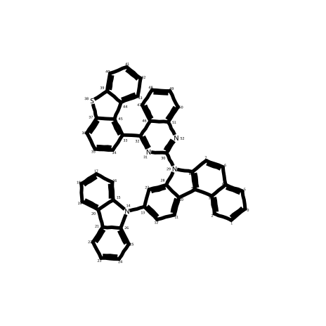 c1ccc2c(c1)ccc1c2c2ccc(-n3c4ccccc4c4ccccc43)cc2n1-c1nc(-c2cccc3sc4ccccc4c23)c2ccccc2n1